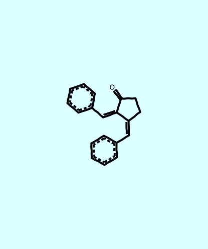 O=C1CCC(=C/c2ccccc2)/C1=C/c1ccccc1